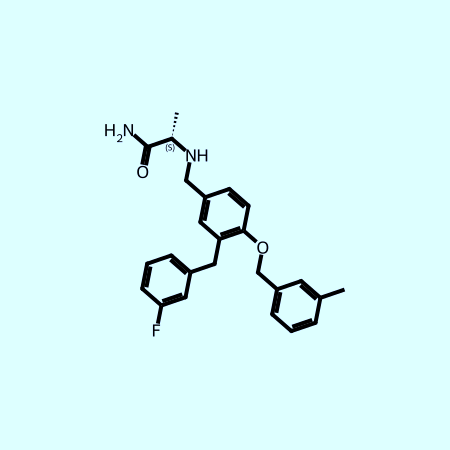 Cc1cccc(COc2ccc(CN[C@@H](C)C(N)=O)cc2Cc2cccc(F)c2)c1